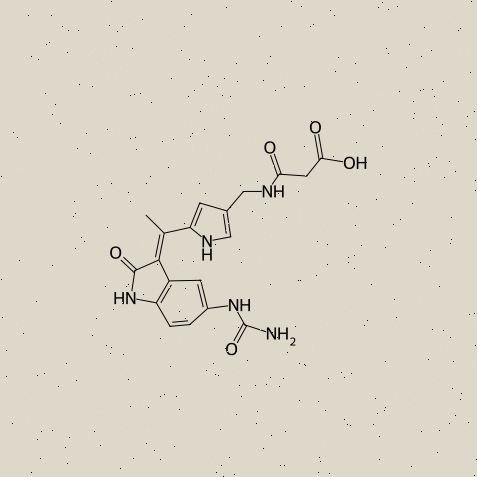 CC(=C1C(=O)Nc2ccc(NC(N)=O)cc21)c1cc(CNC(=O)CC(=O)O)c[nH]1